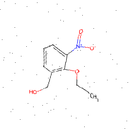 CCOc1c(CO)cccc1[N+](=O)[O-]